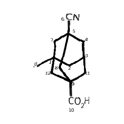 [CH2]C12CC3CC(C#N)(C1)CC(C(=O)O)(C3)C2